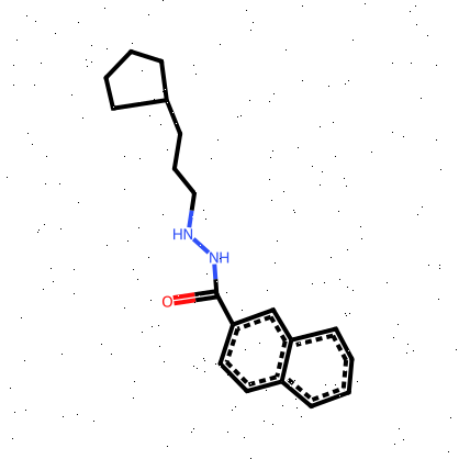 O=C(NNCCCC1CCCC1)c1ccc2ccccc2c1